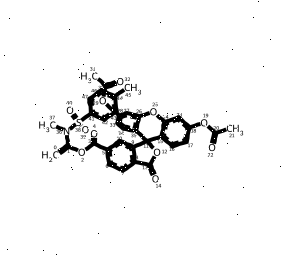 C=C(OC(=O)c1ccc2c(c1)C1(OC2=O)c2ccc(OC(C)=O)cc2Oc2cc(OC(C)=O)ccc21)N(C)S(=O)(=O)c1ccc(C)cc1